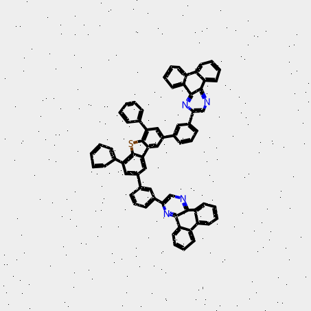 c1ccc(-c2cc(-c3cccc(-c4cnc5c6ccccc6c6ccccc6c5n4)c3)cc3c2sc2c(-c4ccccc4)cc(-c4cccc(-c5cnc6c7ccccc7c7ccccc7c6n5)c4)cc23)cc1